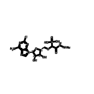 CC(=O)NNC(=O)C(OC[C@H]1O[C@@H](n2cnc3c(N)nc(Cl)nc32)[C@H](O)[C@@H]1O)P(=O)(O)O